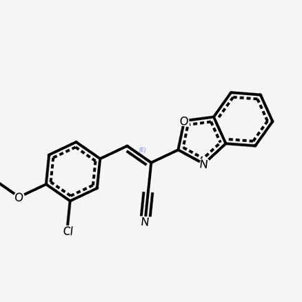 COc1ccc(/C=C(\C#N)c2nc3ccccc3o2)cc1Cl